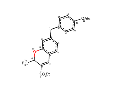 CCOC(=O)C1=Cc2ccc(Cc3ccc(OC)cc3)cc2OC1C(F)(F)F